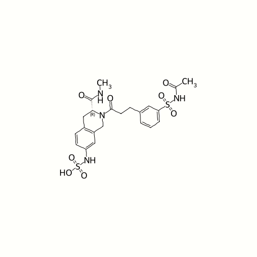 CNC(=O)[C@H]1Cc2ccc(NS(=O)(=O)O)cc2CN1C(=O)CCc1cccc(S(=O)(=O)NC(C)=O)c1